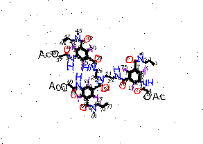 C=CCN(C)C(=O)c1c(I)c(NC(=O)COC(C)=O)c(I)c(C(=O)NCCN(CCNC(=O)c2c(I)c(NC(=O)COC(C)=O)c(I)c(C(=O)N(C)CC=C)c2I)C(=O)c2c(I)c(NC(=O)COC(C)=O)c(I)c(C(=O)N(C)CC=C)c2I)c1I